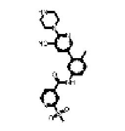 Cc1ccc(NC(=O)c2ccnc(S(C)(=O)=O)c2)cc1-c1cnc(N2CCNCC2)c(C#N)c1